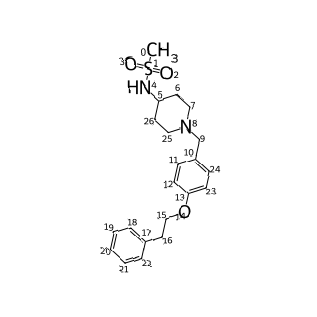 CS(=O)(=O)NC1CCN(Cc2ccc(OCCc3ccccc3)cc2)CC1